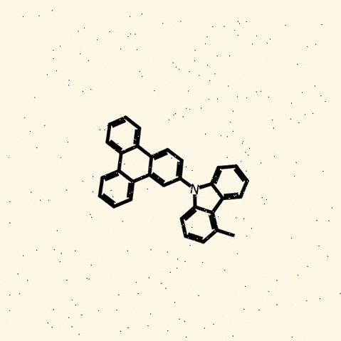 Cc1cccc2c1c1ccccc1n2-c1ccc2c3ccccc3c3ccccc3c2c1